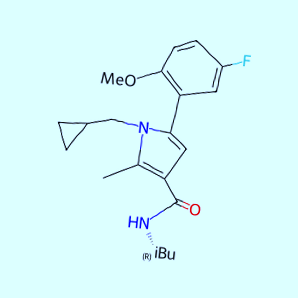 CC[C@@H](C)NC(=O)c1cc(-c2cc(F)ccc2OC)n(CC2CC2)c1C